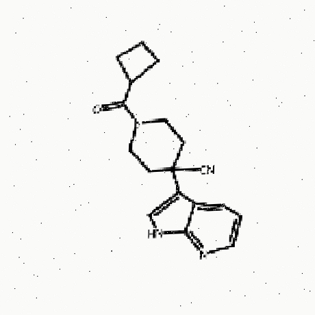 N#CC1(c2c[nH]c3ncccc23)CCN(C(=O)C2CCC2)CC1